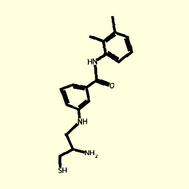 Cc1cccc(NC(=O)c2cccc(NCC(N)CS)c2)c1C